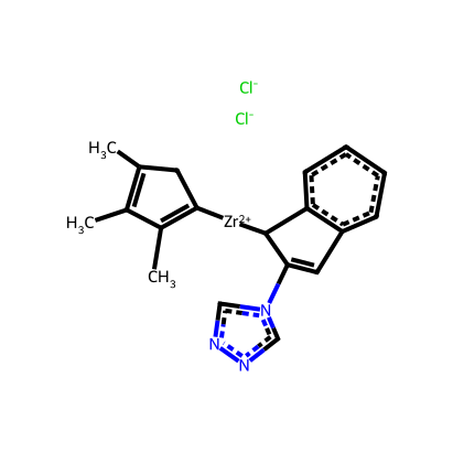 CC1=C(C)C(C)=[C]([Zr+2][CH]2C(n3cnnc3)=Cc3ccccc32)C1.[Cl-].[Cl-]